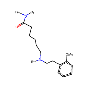 COc1ccccc1CCN(CCCCCC(=O)N(C(C)C)C(C)C)C(C)C